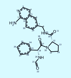 Nc1nccc2cc(CNC(=O)[C@@H]3CCCN3C(=O)[C@H](NC=O)c3ccccc3)ccc12